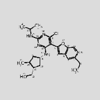 CCc1cc2cc(-c3c(Cl)nc(NC(C)C)nc3N[C@@H]3C[C@H](CO)[C@@H](C)C3)oc2cn1